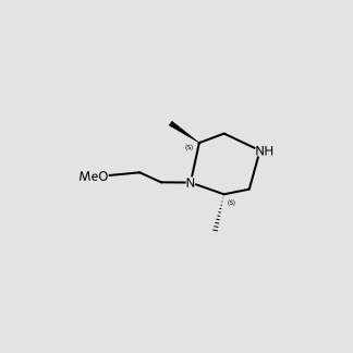 COCCN1[C@@H](C)CNC[C@@H]1C